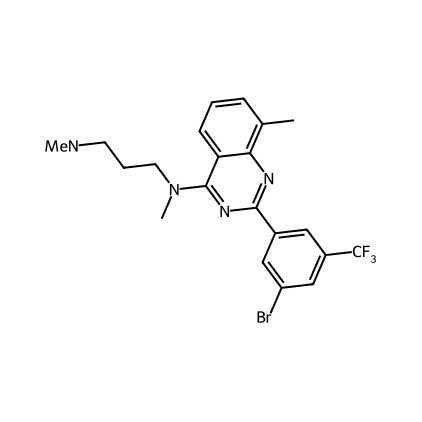 CNCCCN(C)c1nc(-c2cc(Br)cc(C(F)(F)F)c2)nc2c(C)cccc12